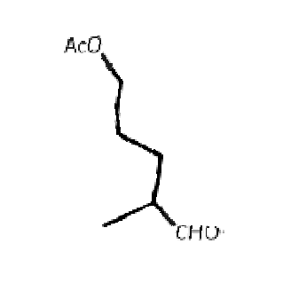 CC(=O)OCCCC(C)[C]=O